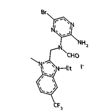 CCn1c(CN(C=O)c2nc(Br)cnc2N)[n+](C)c2ccc(C(F)(F)F)cc21.[I-]